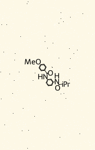 COc1ccc(C(=O)Nc2cccc(NC(=O)C(C)C)c2)cc1